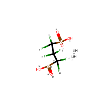 O=S(=O)(O)C(F)(F)C(F)(F)C(F)(F)S(=O)(=O)O.[LiH].[LiH]